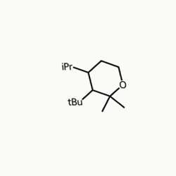 CC(C)C1CCOC(C)(C)C1C(C)(C)C